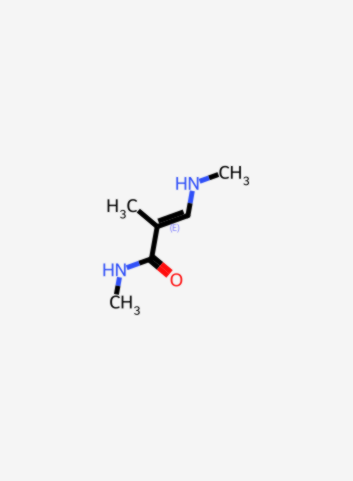 CN/C=C(\C)C(=O)NC